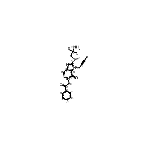 CC#CCn1c(N(C)CC(C)(C)N)nc2cnn(CC(=O)c3ccccc3)c(=O)c21